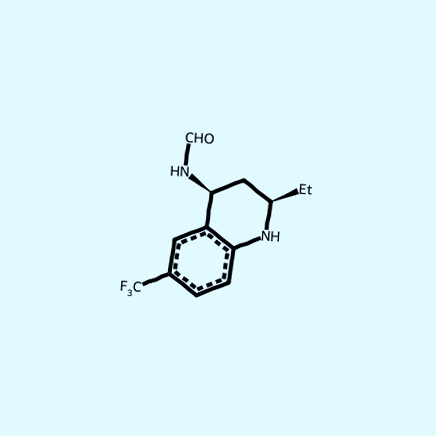 CC[C@@H]1C[C@H](NC=O)c2cc(C(F)(F)F)ccc2N1